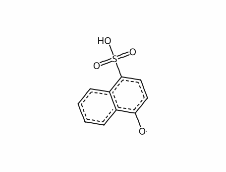 [O]c1ccc(S(=O)(=O)O)c2ccccc12